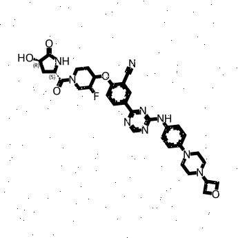 N#Cc1cc(-c2ncnc(Nc3ccc(N4CCN(C5COC5)CC4)cc3)n2)ccc1OC1CCN(C(=O)[C@@H]2C[C@@H](O)C(=O)N2)CC1F